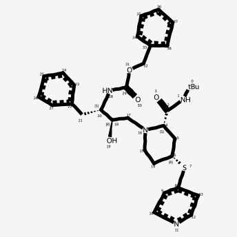 CC(C)(C)NC(=O)[C@@H]1C[C@H](Sc2ccncc2)CCN1C[C@@H](O)[C@H](Cc1ccccc1)NC(=O)OCc1ccccc1